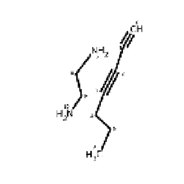 C#CC#CCCC.NCCN